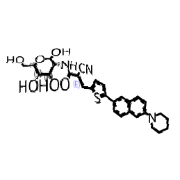 N#C/C(=C\c1ccc(-c2ccc3cc(N4CCCCC4)ccc3c2)s1)C(=O)N[C@H]1C(O)O[C@H](CO)[C@@H](O)[C@@H]1O